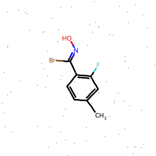 Cc1ccc(C(Br)=NO)c(F)c1